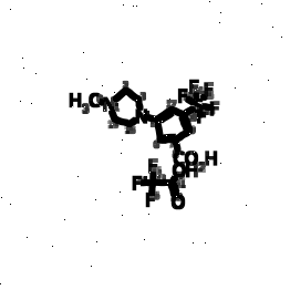 CN1CCN(c2cc(C(=O)O)cc(S(F)(F)(F)(F)F)c2)CC1.O=C(O)C(F)(F)F